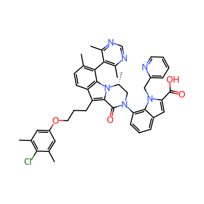 Cc1cc(OCCCc2c3n(c4c(-c5c(C)ncnc5C)c(C)ccc24)[C@H](C)CN(c2cccc4cc(C(=O)O)n(Cc5ccccn5)c24)C3=O)cc(C)c1Cl